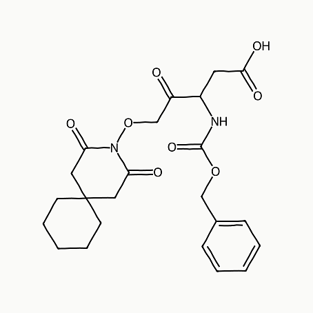 O=C(O)CC(NC(=O)OCc1ccccc1)C(=O)CON1C(=O)CC2(CCCCC2)CC1=O